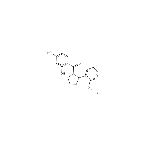 COc1ccccc1C1CCCN1C(=O)c1ccc(O)cc1O